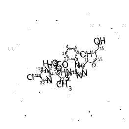 COc1cccc(O)c1-n1c(C/C=C\CCO)nnc1NSC(C)C(OC)c1ncc(Cl)cn1